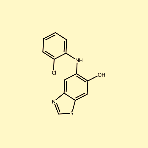 Oc1cc2scnc2cc1Nc1ccccc1Cl